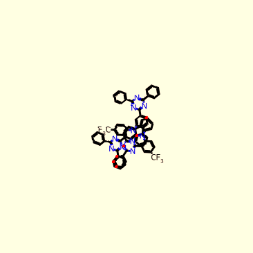 FC(F)(F)c1ccc(-n2c3ccccc3c3ccc(-c4nc(-c5ccccc5)nc(-c5ccccc5)n4)cc32)c(-c2nc(-c3ccccc3)nc(-c3cc(C(F)(F)F)ccc3-n3c4ccccc4c4ccc(-c5nc(-c6ccccc6)nc(-c6ccccc6)n5)cc43)n2)c1